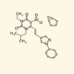 CCn1c(=O)c([N+](=O)[O-])c(C=Cc2cnn(-c3ccccc3)c2)n(CC(C)C)c1=O.c1cc2cc-2c1